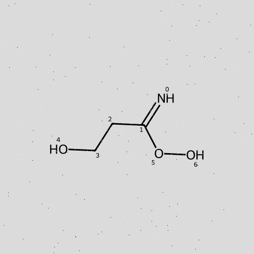 N=C(CCO)OO